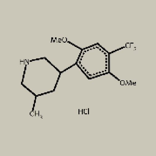 COc1cc(C(F)(F)F)c(OC)cc1C1CNCC(C)C1.Cl